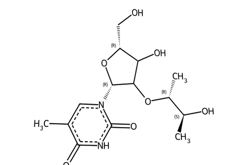 Cc1cn([C@@H]2O[C@H](CO)C(O)C2O[C@H](C)[C@H](C)O)c(=O)[nH]c1=O